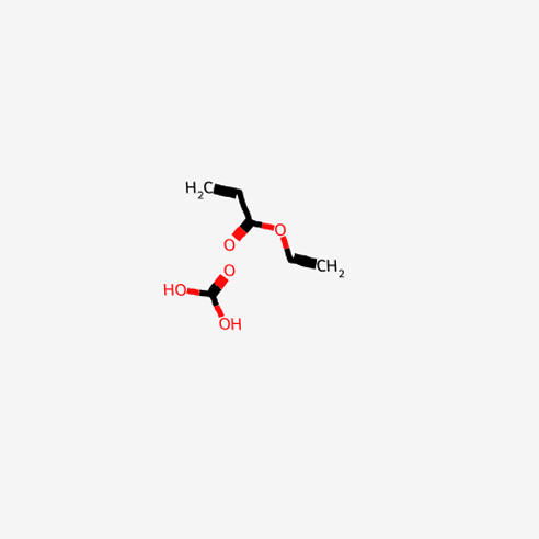 C=COC(=O)C=C.O=C(O)O